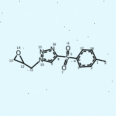 Cc1ccc(S(=O)(=O)c2cn(CC3CO3)nn2)cc1